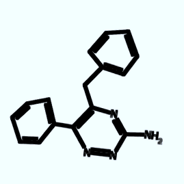 Nc1nnc(-c2ccccc2)c(Cc2ccccc2)n1